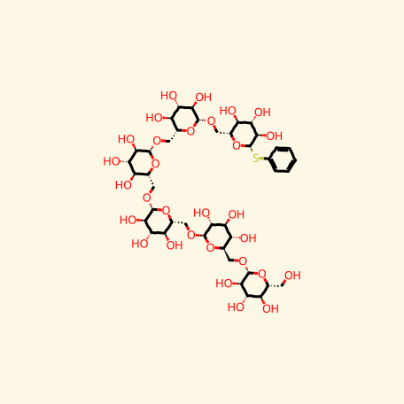 OC[C@H]1O[C@@H](OC[C@H]2O[C@@H](OC[C@H]3O[C@@H](OC[C@H]4O[C@@H](OC[C@H]5O[C@@H](OC[C@H]6O[C@@H](Sc7ccccc7)[C@H](O)[C@@H](O)[C@@H]6O)[C@H](O)[C@@H](O)[C@@H]5O)[C@H](O)[C@@H](O)[C@@H]4O)[C@H](O)[C@@H](O)[C@@H]3O)[C@H](O)[C@@H](O)[C@@H]2O)[C@H](O)[C@@H](O)[C@@H]1O